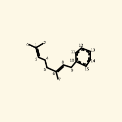 CC(C)=CCC/C(C)=C/Cc1ccccc1